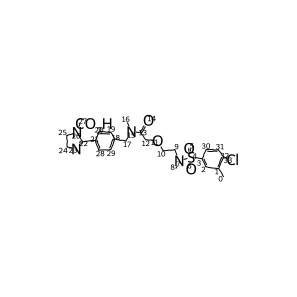 Cc1cc(S(=O)(=O)N(C)CCOCC(=O)N(C)Cc2ccc(C3=NCCN3C(=O)O)cc2)ccc1Cl